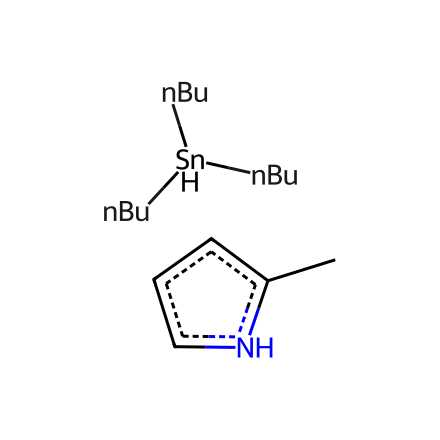 CCC[CH2][SnH]([CH2]CCC)[CH2]CCC.Cc1ccc[nH]1